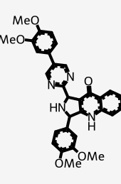 COc1ccc(-c2cnc(C3NC(c4ccc(OC)c(OC)c4)c4[nH]c5ccccc5c(=O)c43)nc2)cc1OC